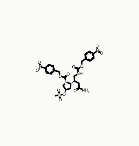 CS(=O)(=O)O[C@@H]1C[C@@H](C(CNC(=O)OCc2ccc([N+](=O)[O-])cc2)CC(N)=O)N(C(=O)OCc2ccc([N+](=O)[O-])cc2)C1